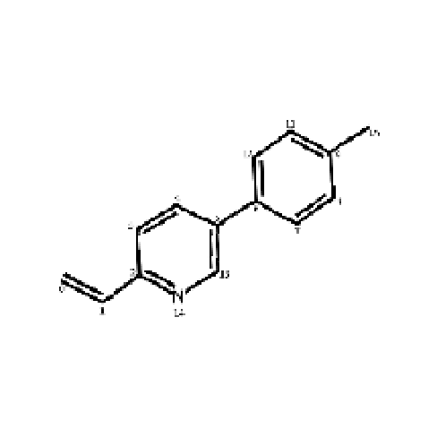 C=Cc1ccc(-c2ccc(C)cc2)cn1